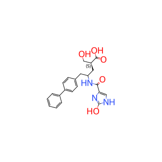 O=C(NC(Cc1ccc(-c2ccccc2)cc1)C[C@@H](CO)C(=O)O)c1c[nH]c(O)n1